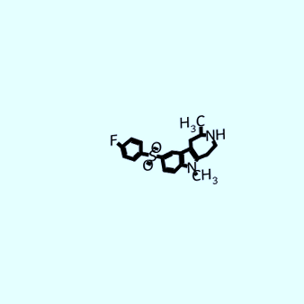 CC1Cc2c(n(C)c3ccc(S(=O)(=O)c4ccc(F)cc4)cc23)CCN1